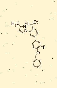 CCC(CC)c1ccc(-c2ccc(OCc3ccccc3)c(F)c2)cc1-n1ccc(C)n1